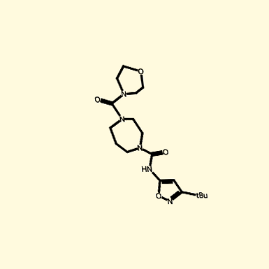 CC(C)(C)c1cc(NC(=O)N2CCCN(C(=O)N3CCOCC3)CC2)on1